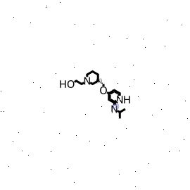 CC(C)/N=c1/cc(OC[C@H]2CCCN(CCO)C2)cc[nH]1